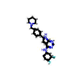 Fc1ccc(Nc2ncnc3[nH]c(-c4ccc(CN5CCCCC5)cc4)cc23)cc1F